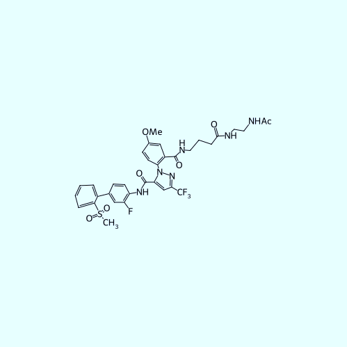 COc1ccc(-n2nc(C(F)(F)F)cc2C(=O)Nc2ccc(-c3ccccc3S(C)(=O)=O)cc2F)c(C(=O)NCCCC(=O)NCCNC(C)=O)c1